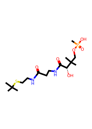 CC(C)(C)SCCNC(=O)CCNC(=O)[C@@H](O)C(C)(C)COP(C)(=O)O